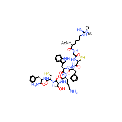 CCN(CC)C(=N)NCCCC[C@@H](NC(C)=O)C(=O)NCC(=O)N[C@@H](CS)C(=O)N[C@@H](Cc1ccccc1)C(=O)N[C@H](Cc1c[nH]c2ccccc12)C(=O)N[C@@H](CCCCN)C(=O)N[C@H](C(=O)N[C@@H](CS)C(=O)N[C@@H](Cc1ccccc1)C(N)=O)[C@@H](C)O